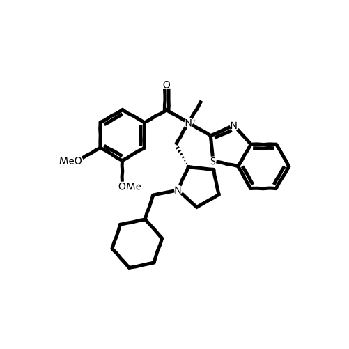 COc1ccc(C(=O)[N+](C)(C[C@@H]2CCCN2CC2CCCCC2)c2nc3ccccc3s2)cc1OC